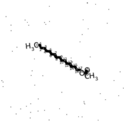 CCCCCCCC=CCCCCC=CCCCOC(C)=O